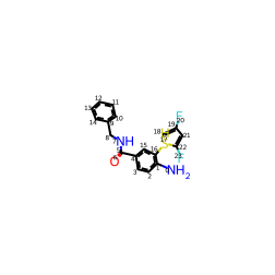 Nc1ccc(C(=O)NCc2ccccc2)cc1[SH]1C=C(F)C=C1F